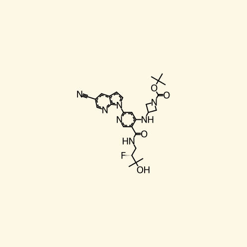 CC(C)(C)OC(=O)N1CC(Nc2cc(-n3ccc4cc(C#N)cnc43)ncc2C(=O)NC[C@@H](F)C(C)(C)O)C1